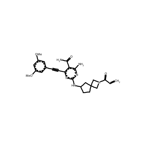 C=CC(=O)N1CC2(CCC(Nc3nc(N)c(C(N)=O)c(C#Cc4cc(OC)cc(OC)c4)n3)C2)C1